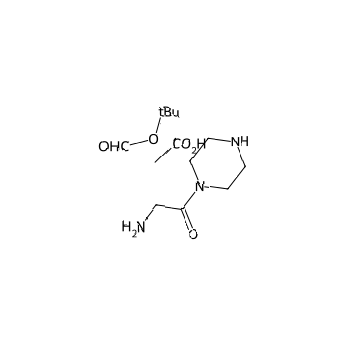 CC(=O)O.CC(C)(C)OC=O.NCC(=O)N1CCNCC1